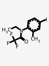 CCN(C(=O)C(F)(F)F)c1ccc(I)cc1C